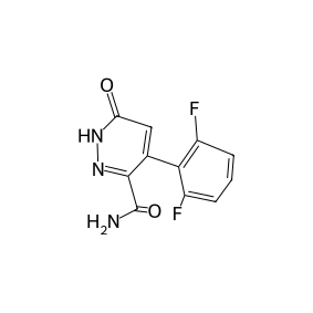 NC(=O)c1n[nH]c(=O)cc1-c1c(F)cccc1F